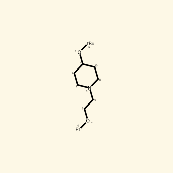 CCOCCN1CCC(OC(C)(C)C)CC1